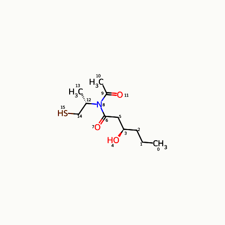 CCC[C@@H](O)CC(=O)N(C(C)=O)[C@@H](C)CS